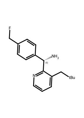 CC(C)(C)Cc1cccnc1[C@@H](N)c1ccc(CF)cc1